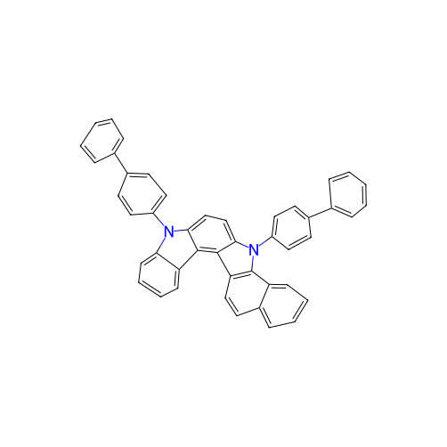 c1ccc(-c2ccc(-n3c4ccccc4c4c5c6ccc7ccccc7c6n(-c6ccc(-c7ccccc7)cc6)c5ccc43)cc2)cc1